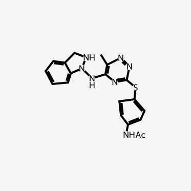 CC(=O)Nc1ccc(Sc2nnc(C)c(NN3NCc4ccccc43)n2)cc1